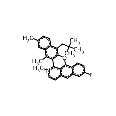 Cc1ccc2c(CC(C)(C)C)c3c(c(C)c2c1)-c1c2c(c4ccc(F)cc4cc2cc[n+]1C)O3